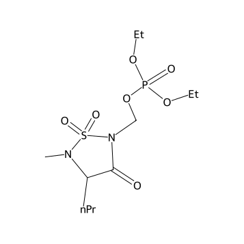 CCCC1C(=O)N(COP(=O)(OCC)OCC)S(=O)(=O)N1C